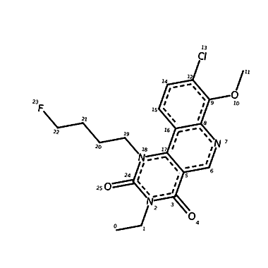 CCn1c(=O)c2cnc3c(OC)c(Cl)ccc3c2n(CCCCF)c1=O